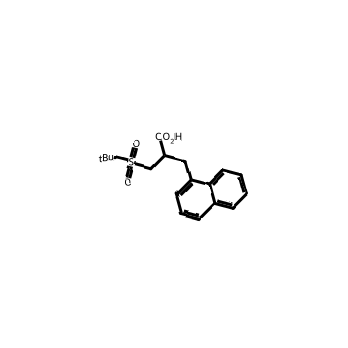 CC(C)(C)S(=O)(=O)CC(Cc1cccc2ccccc12)C(=O)O